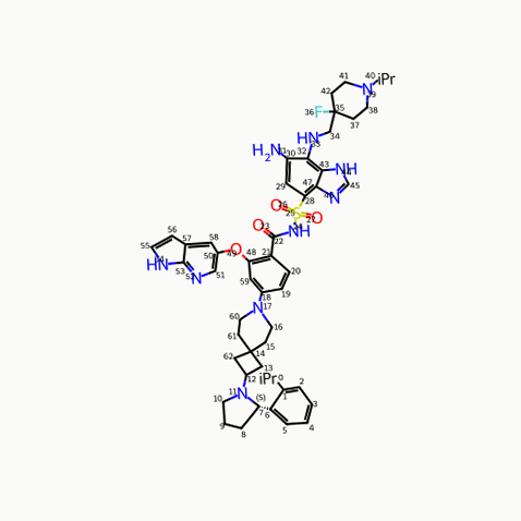 CC(C)c1ccccc1[C@@H]1CCCN1C1CC2(CCN(c3ccc(C(=O)NS(=O)(=O)c4cc(N)c(NCC5(F)CCN(C(C)C)CC5)c5[nH]cnc45)c(Oc4cnc5[nH]ccc5c4)c3)CC2)C1